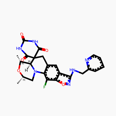 C[C@H]1CN2c3c(cc4c(NCc5ccccn5)noc4c3F)CC3(C(=O)NC(=O)NC3=O)[C@@H]2[C@@H](C)O1